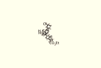 CCOC(=O)C[S+]([O-])c1ccc(C(=O)N2CCN(c3cccc(Cl)c3)CC2(C)C)cc1F